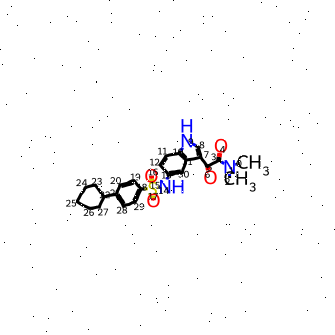 CN(C)C(=O)C(=O)c1c[nH]c2ccc(NS(=O)(=O)c3ccc(C4CCCCC4)cc3)cc12